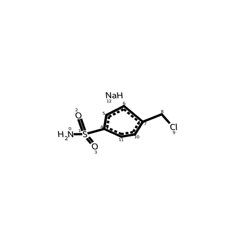 NS(=O)(=O)c1ccc(CCl)cc1.[NaH]